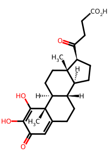 C[C@@]12C(=CC(=O)C(O)=C1O)CC[C@@H]1[C@@H]2CC[C@]2(C)[C@@H](C(=O)CCC(=O)O)CC[C@@H]12